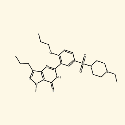 CCCOc1ccc(S(=O)(=O)N2CCN(CC)CC2)cc1-c1nc2c(CCC)nn(C)c2c(=S)[nH]1